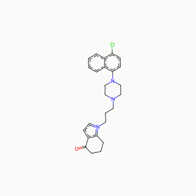 O=C1CCCc2c1ccn2CCCN1CCN(c2ccc(Cl)c3ccccc23)CC1